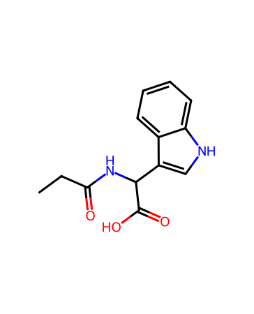 CCC(=O)NC(C(=O)O)c1c[nH]c2ccccc12